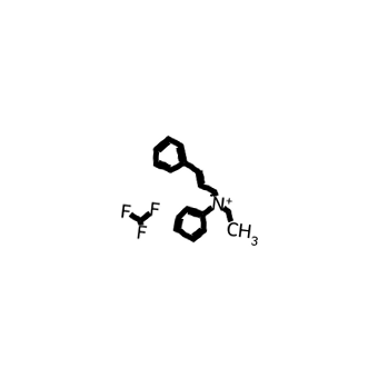 CC[N+](=CC=Cc1ccccc1)c1ccccc1.FC(F)F